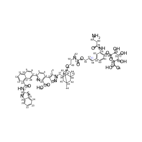 Cc1c(-c2ccc(-c3ccc4cccc(C(=O)Nc5nc6ccccc6s5)c4c3)nc2C(=O)O)cnn1CC12CC3(C)CC(C)(C1)CC(OCCN(C)C(=O)OC/C=C/c1ccc(O[C@@H]4O[C@H](C(=O)O)[C@@H](O)[C@H](O)[C@H]4O)c(NC(=O)CCN)c1)(C3)C2